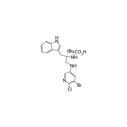 CC(C)(C)[C@](CNc1cnc(Cl)c(Br)c1)(Cc1c[nH]c2ccccc12)NC(=O)O